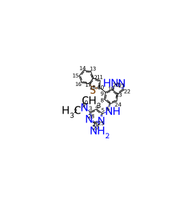 CN(C)c1cc(Nc2cc(-c3cc4ccccc4s3)c3[nH]ncc3c2)nc(N)n1